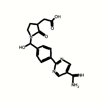 N=C(N)c1cnc(-c2ccc(C(O)N3CCC(CC(=O)O)C3=O)cc2)nc1